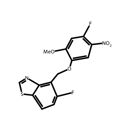 COc1cc(F)c([N+](=O)[O-])cc1OCc1c(F)ccc2scnc12